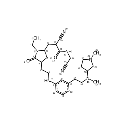 CCN1C(=O)C(CCNc2cccc(CCN(C)C3CCN(C)C3)c2)SC1CC(C#N)C(=O)NCC#N